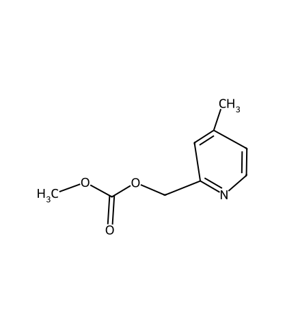 COC(=O)OCc1cc(C)ccn1